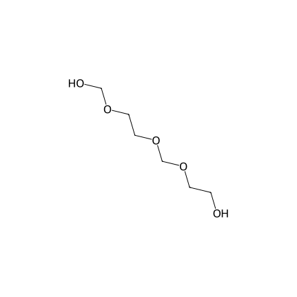 OCCOCOCCOCO